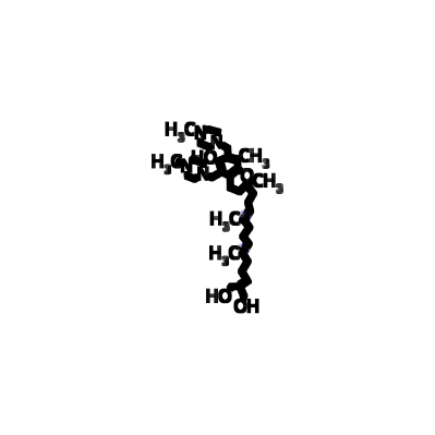 C/C(=C\CC/C(C)=C/CC[C@]1(C)CCc2c(CN3CCN(C)CC3)c(O)c(CN3CCN(C)CC3)c(C)c2O1)CCC=C(CO)CO